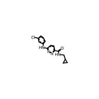 O=C(NCC1CC1)c1ccc(Nc2cccc(Cl)c2)nn1